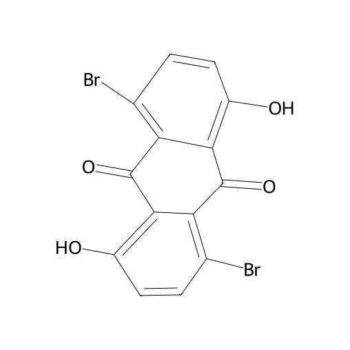 O=C1c2c(O)ccc(Br)c2C(=O)c2c(O)ccc(Br)c21